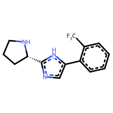 FC(F)(F)c1ccccc1-c1cnc([C@@H]2CCCN2)[nH]1